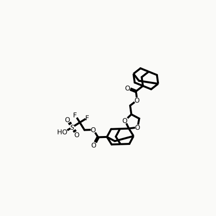 O=C(OCC1COC2(O1)C1CC3CC2CC(C(=O)OCC(F)(F)S(=O)(=O)O)(C3)C1)C12CC3CC(CC(C3)C1)C2